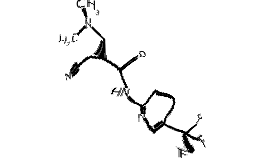 CN(C)C=C(C#N)C(=O)Nc1ccc(C(F)(F)F)cn1